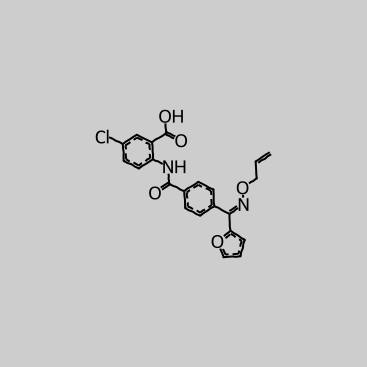 C=CCO/N=C(\c1ccc(C(=O)Nc2ccc(Cl)cc2C(=O)O)cc1)c1ccco1